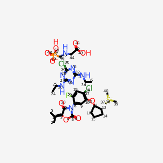 CC(C)=C1OC(=O)N(c2cc(OC3CCCC3)c(Cl)cc2F)C1=O.CCNc1nc(Cl)nc(NCC)n1.C[S+](C)C.O=C(O)CNCP(=O)([O-])O